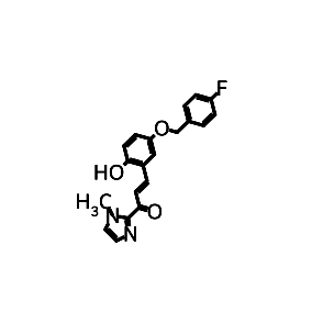 Cn1ccnc1C(=O)C=Cc1cc(OCc2ccc(F)cc2)ccc1O